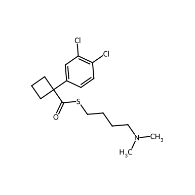 CN(C)CCCCSC(=O)C1(c2ccc(Cl)c(Cl)c2)CCC1